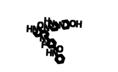 O=C(NC1CCCCC1)c1ccc(-c2cc(Nc3ccc(N4CCC(O)CC4)cn3)c3c(=O)[nH]ccc3n2)c(F)c1